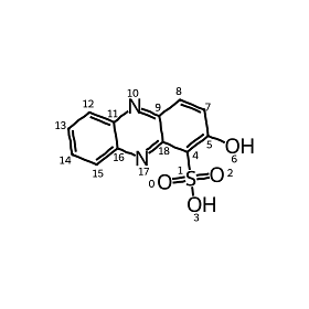 O=S(=O)(O)c1c(O)ccc2nc3ccccc3nc12